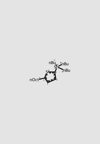 CCCCCCCCc1cc[c]([Sn]([CH2]CCC)([CH2]CCC)[CH2]CCC)s1